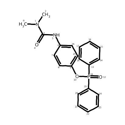 CN(C)C(=O)Nc1ccc(OP(=O)(c2ccccc2)c2ccccc2)cc1